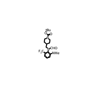 CNc1cccc(C(F)(F)F)c1N(C=O)CC1CCN(C(=O)OC(C)(C)C)CC1